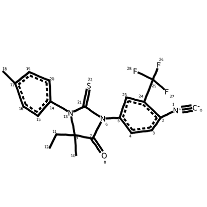 [C-]#[N+]c1ccc(N2C(=O)C(C)(CC)N(c3ccc(C)cc3)C2=S)cc1C(F)(F)F